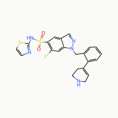 O=S(=O)(Nc1nccs1)c1cc2cnn(Cc3ccccc3C3=CCNCC3)c2cc1F